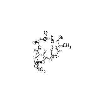 COc1ccc2cc(C(C)C(=O)OCC(=O)OCC(=O)OCCCCO[N+](=O)[O-])ccc2c1